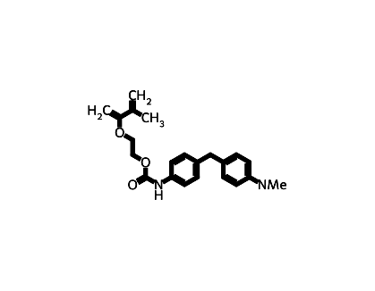 C=C(C)C(=C)OCCOC(=O)Nc1ccc(Cc2ccc(NC)cc2)cc1